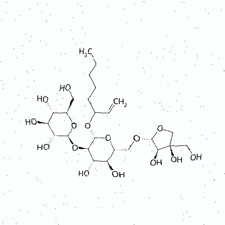 C=CC(CCCCC)O[C@@H]1O[C@H](CO[C@@H]2OC[C@](O)(CO)[C@H]2O)[C@@H](O)[C@H](O)[C@H]1O[C@@H]1O[C@H](CO)[C@@H](O)[C@H](O)[C@H]1O